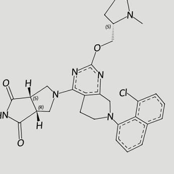 CN1CCC[C@H]1COc1nc2c(c(N3C[C@@H]4C(=O)NC(=O)[C@@H]4C3)n1)CCN(c1cccc3cccc(Cl)c13)C2